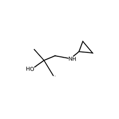 [CH2]C(C)(O)CNC1CC1